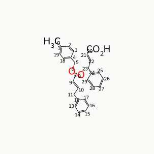 Cc1ccc(COC(=O)C=CCc2ccccc2)cc1.O=C(O)C=CCc1ccccc1